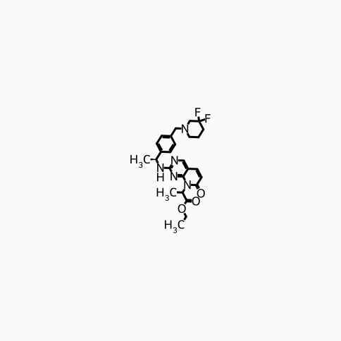 CCOC(=O)C(C)n1c(=O)ccc2cnc(N[C@@H](C)c3ccc(CN4CCCC(F)(F)C4)cc3)nc21